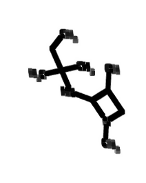 CCC(C)(C)NC1C(O)CN1C